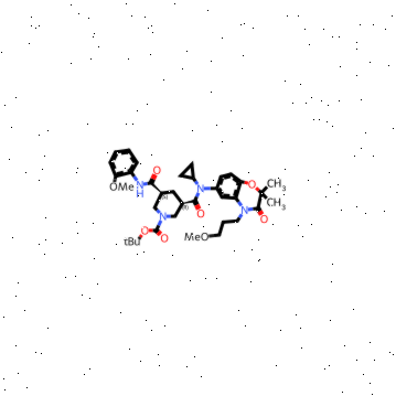 COCCCN1C(=O)C(C)(C)Oc2ccc(N(C(=O)[C@@H]3C[C@H](C(=O)Nc4ccccc4OC)CN(C(=O)OC(C)(C)C)C3)C3CC3)cc21